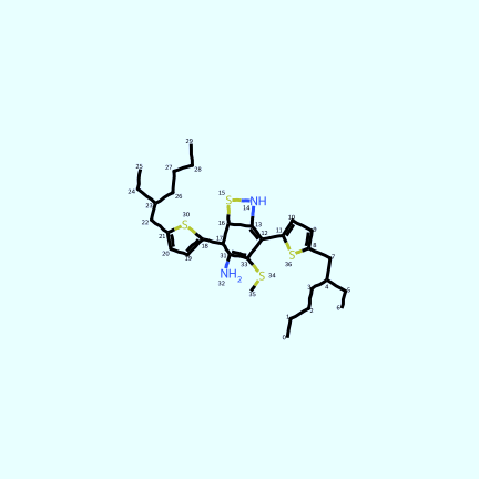 CCCCC(CC)Cc1ccc(C2=C3NSC3C(c3ccc(CC(CC)CCCC)s3)C(N)=C2SC)s1